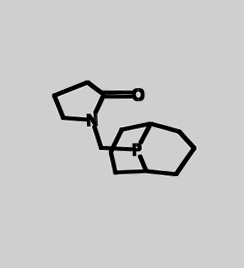 O=C1CCCN1CP1C2CCCC1CCC2